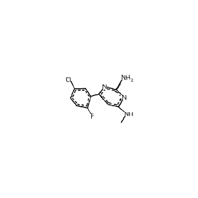 CNc1cc(-c2cc(Cl)ccc2F)nc(N)n1